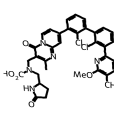 COc1nc(-c2cccc(-c3cccc(-c4ccn5c(=O)c(CN(CC6CCC(=O)N6)C(=O)O)c(C)nc5c4)c3Cl)c2Cl)ccc1C=O